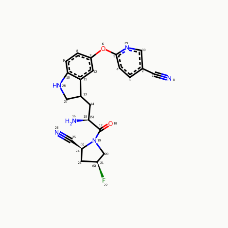 N#Cc1ccc(Oc2ccc3c(c2)C(C[C@H](N)C(=O)N2C[C@@H](F)C[C@H]2C#N)CN3)nc1